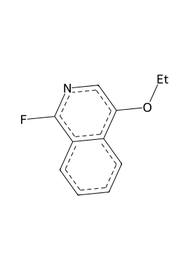 CCOc1cnc(F)c2ccccc12